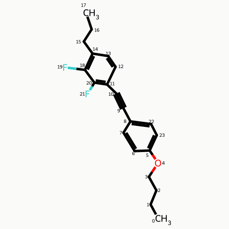 CCCCOc1ccc(C#Cc2ccc(CCC)c(F)c2F)cc1